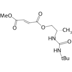 COC(=O)/C=C/C(=O)OC[C@H](C)NC(=O)NC(C)(C)C